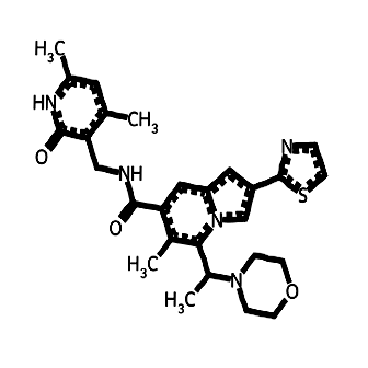 Cc1cc(C)c(CNC(=O)c2cc3cc(-c4nccs4)cn3c(C(C)N3CCOCC3)c2C)c(=O)[nH]1